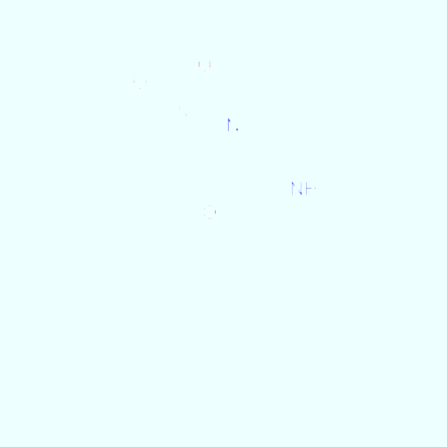 CC(C)(NC1=NS(=O)(=O)C2CCCCC2O1)c1ccccc1